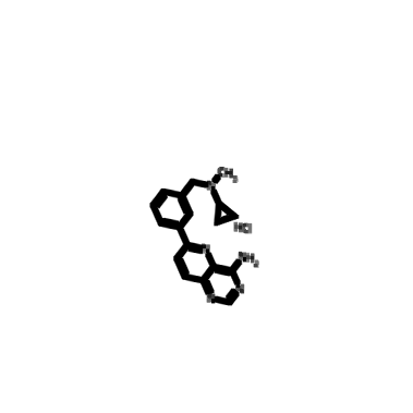 CN(Cc1cccc(-c2ccc3ncnc(N)c3n2)c1)C1CC1.Cl